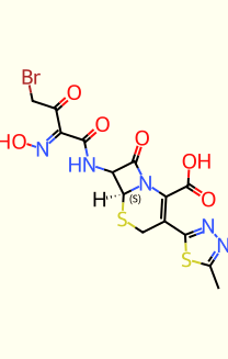 Cc1nnc(C2=C(C(=O)O)N3C(=O)C(NC(=O)C(=NO)C(=O)CBr)[C@@H]3SC2)s1